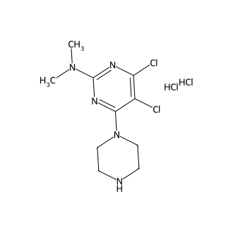 CN(C)c1nc(Cl)c(Cl)c(N2CCNCC2)n1.Cl.Cl